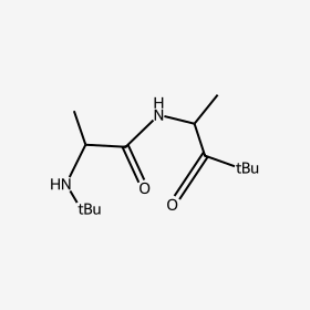 CC(NC(C)(C)C)C(=O)NC(C)C(=O)C(C)(C)C